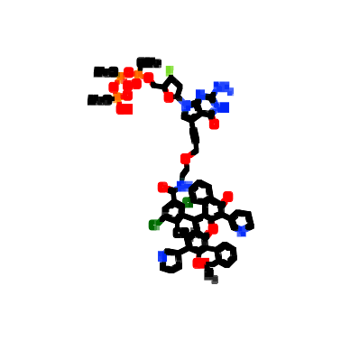 COP(=O)(O)OP(=O)(OC)OP(=O)(OC)OCC1OC(n2cc(C#CCOCCNC(=O)c3cc(Cl)c(C(=O)O)c(-c4c5c6ccccc6c(=O)c(-c6cccnc6)c-5oc5c(-c6ccccc6C)c(O)c(-c6cccnc6)cc45)c3Cl)c3c(=O)[nH]c(N)nc32)CC1F